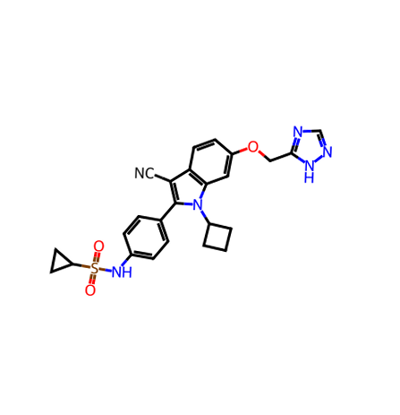 N#Cc1c(-c2ccc(NS(=O)(=O)C3CC3)cc2)n(C2CCC2)c2cc(OCc3ncn[nH]3)ccc12